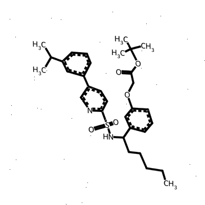 CCCCCC(NS(=O)(=O)c1ccc(-c2cccc(C(C)C)c2)cn1)c1cccc(OCC(=O)OC(C)(C)C)c1